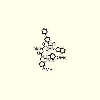 CCCC[C@H](CC(=O)N(Cc1ccc(OC)cc1OC)OCc1ccc(OC)cc1)C(=O)NC(C(=O)NC1Cc2ccccc2C1)c1ccc(-c2ccccc2)cc1